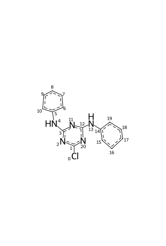 Clc1nc(Nc2ccccc2)nc(Nc2ccccc2)n1